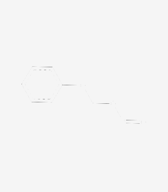 O=POCOc1ccccc1